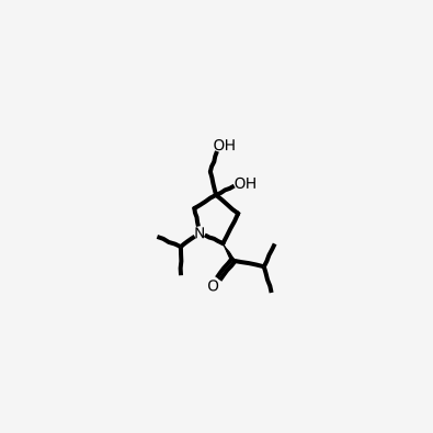 CC(C)C(=O)[C@@H]1CC(O)(CO)CN1C(C)C